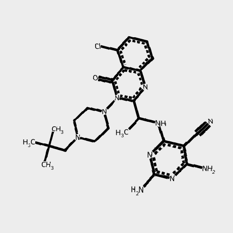 CC(Nc1nc(N)nc(N)c1C#N)c1nc2cccc(Cl)c2c(=O)n1N1CCN(CC(C)(C)C)CC1